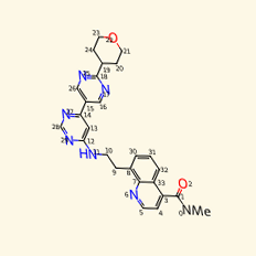 CNC(=O)c1ccnc2c(CCNc3cc(-c4cnc(C5CCOCC5)nc4)ncn3)cccc12